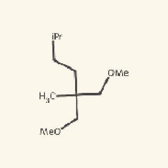 COCC(C)(CCC(C)C)COC